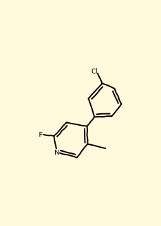 Cc1cnc(F)cc1-c1cccc(Cl)c1